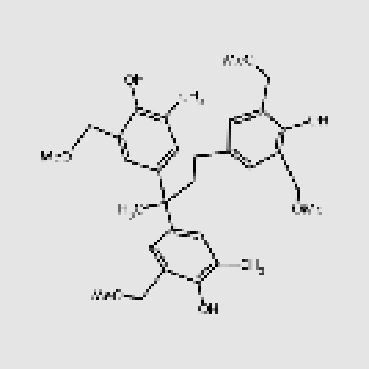 COCc1cc(C(C)(CCc2cc(COC)c(O)c(COC)c2)c2cc(C)c(O)c(COC)c2)cc(C)c1O